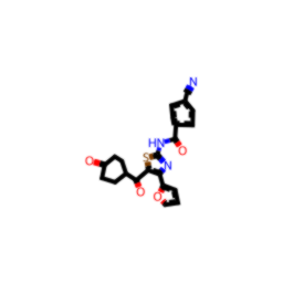 N#Cc1ccc(C(=O)Nc2nc(-c3ccco3)c(C(=O)C3CCC(=O)CC3)s2)cc1